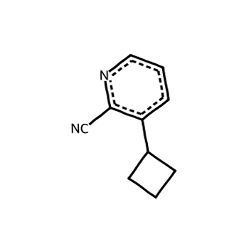 N#Cc1ncccc1C1CCC1